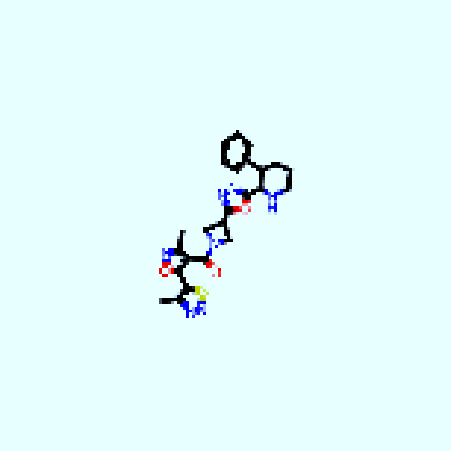 Cc1nnsc1-c1onc(C)c1C(=O)N1CC(c2nnc(C3NCCCC3c3ccccc3)o2)C1